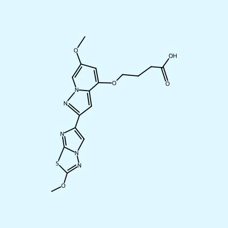 COc1cc(OCCCC(=O)O)c2cc(-c3cn4nc(OC)sc4n3)nn2c1